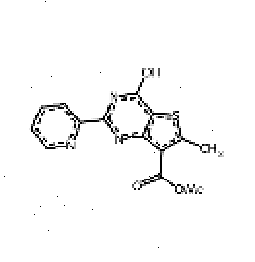 COC(=O)c1c(C)sc2c(O)nc(-c3ccccn3)nc12